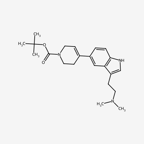 CN(C)CCc1c[nH]c2ccc(C3=CCN(C(=O)OC(C)(C)C)CC3)cc12